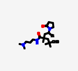 CCC(CC(C)(CC(C)(C)C=O)C(=O)NCCCN(C)C)N1CCCC1=O